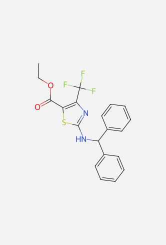 CCOC(=O)c1sc(NC(c2ccccc2)c2ccccc2)nc1C(F)(F)F